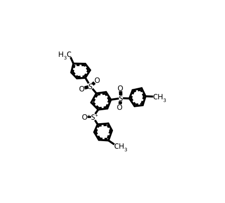 Cc1ccc([S+]([O-])c2cc(S(=O)(=O)c3ccc(C)cc3)cc(S(=O)(=O)c3ccc(C)cc3)c2)cc1